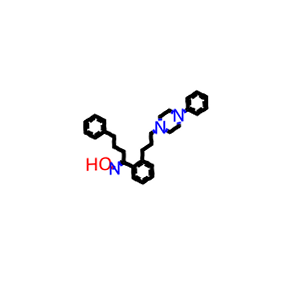 ON=C(CCCc1ccccc1)c1ccccc1CCCN1CCN(c2ccccc2)CC1